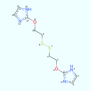 c1c[nH]c(OCCSSCCOc2ncc[nH]2)n1